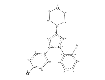 Clc1ccc(-c2cc(C3CCOCC3)nn2-c2ccccc2Cl)cc1